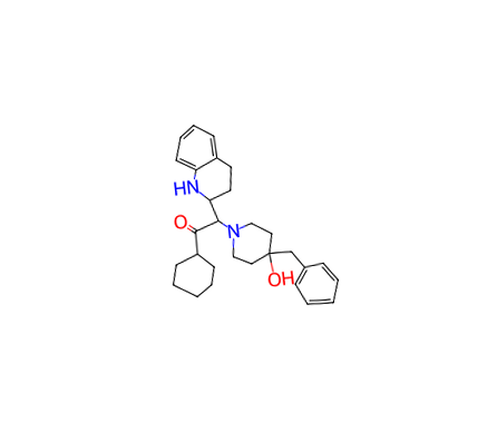 O=C(C1CCCCC1)C(C1CCc2ccccc2N1)N1CCC(O)(Cc2ccccc2)CC1